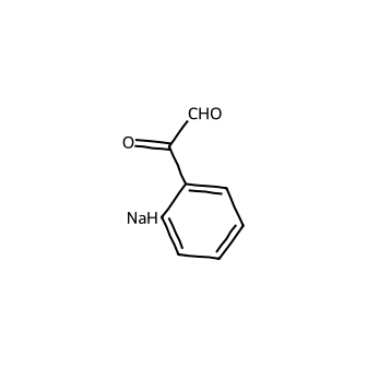 O=CC(=O)c1ccccc1.[NaH]